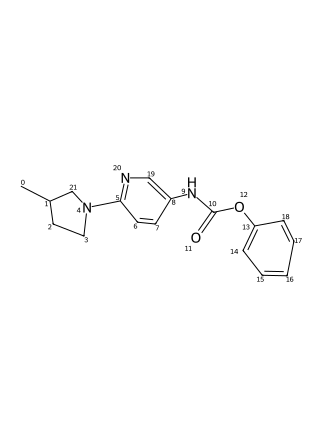 CC1CCN(c2ccc(NC(=O)Oc3ccccc3)cn2)C1